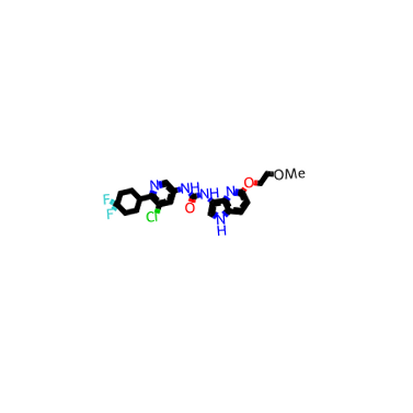 COCCOc1ccc2[nH]cc(NC(=O)Nc3cnc(C4CCC(F)(F)CC4)c(Cl)c3)c2n1